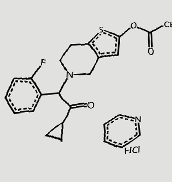 CC(=O)Oc1cc2c(s1)CCN(C(C(=O)C1CC1)c1ccccc1F)C2.Cl.c1ccncc1